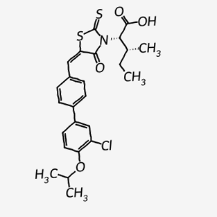 CC[C@@H](C)[C@@H](C(=O)O)N1C(=O)/C(=C\c2ccc(-c3ccc(OC(C)C)c(Cl)c3)cc2)SC1=S